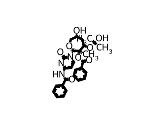 CC(C)(O)OC1C[C@H](O)CO[C@@H](n2ccc(NC(=O)c3ccccc3)nc2=O)[C@]1(C)OC(=O)c1ccccc1